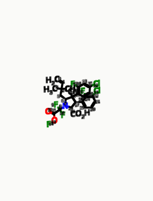 C=CC(C)(C)C[C@@H]1N(C(F)(F)C(=O)OF)[C@@H](C(=O)O)[C@H](c2cccc(Cl)c2F)[C@@]1(C#N)c1ccc(Cl)cc1F